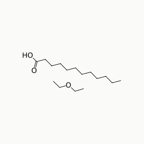 CCCCCCCCCCCC(=O)O.CCOCC